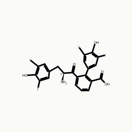 N[C@@H](Cc1cc(I)c(O)c(I)c1)C(=O)c1cccc(C(=O)O)c1-c1cc(I)c(O)c(I)c1